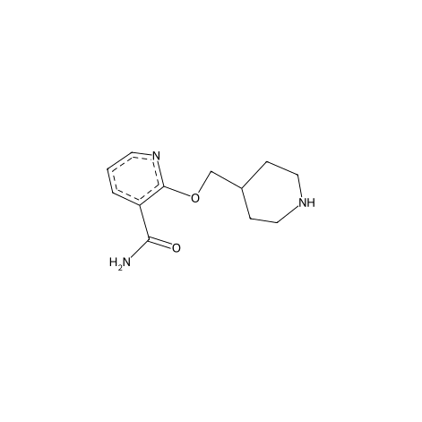 NC(=O)c1cccnc1OCC1CCNCC1